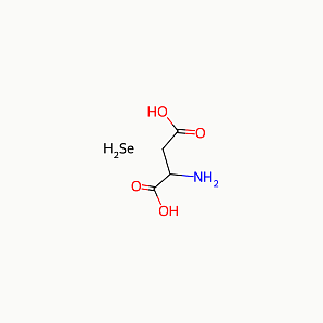 NC(CC(=O)O)C(=O)O.[SeH2]